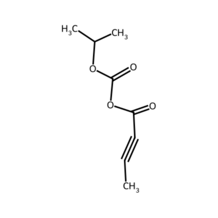 CC#CC(=O)OC(=O)OC(C)C